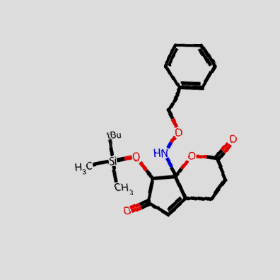 CC(C)(C)[Si](C)(C)OC1C(=O)C=C2CCC(=O)OC21NOCc1ccccc1